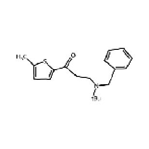 Cc1ccc(C(=O)CCN(Cc2ccccc2)C(C)(C)C)s1